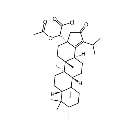 CC(=O)OC(C(=O)Cl)[C@@]12CC[C@]3(C)[C@H](CC[C@@H]4[C@@]5(C)CC[C@H](C)C(C)(C)[C@@H]5CC[C@]43C)C1=C(C(C)C)C(=O)C2